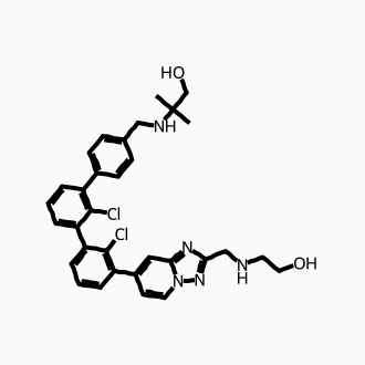 CC(C)(CO)NCc1ccc(-c2cccc(-c3cccc(-c4ccn5nc(CNCCO)nc5c4)c3Cl)c2Cl)cc1